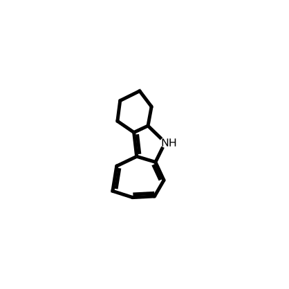 C1=CC=C2NC3CCCCC3=C2C=C1